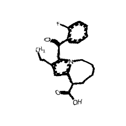 CCc1cc2n(c1C(=O)c1ccccc1F)CCCCC2C(=O)O